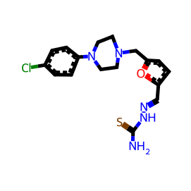 NC(=S)NN=Cc1ccc(CN2CCN(c3ccc(Cl)cc3)CC2)o1